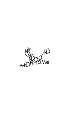 COc1cc2c(NC3CCN(C(C)C)CC3)nc(N3CCCN(C(C)C)CC3)nc2cc1OCCCN1CCCCC1